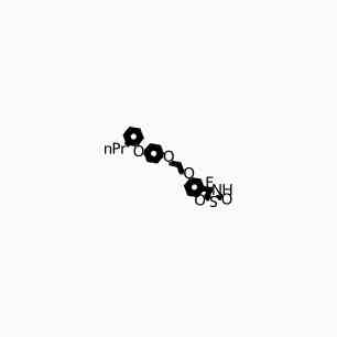 CCCc1ccccc1Oc1ccc(OCCCOc2cccc(C3(F)NC(=O)SC3=O)c2)cc1